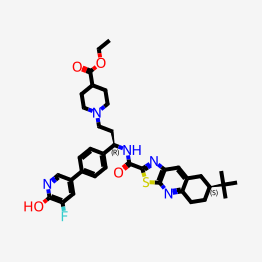 CCOC(=O)C1CCN(CC[C@@H](NC(=O)c2nc3cc4c(nc3s2)CC[C@H](C(C)(C)C)C4)c2ccc(-c3cnc(O)c(F)c3)cc2)CC1